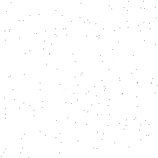 CCC1=Cc2c(-c3ccc(C4CCCCC4)cc3)cccc2[CH]1[Zr]([Cl])([Cl])([CH]1C(C2CCCCC2)=Cc2c(-c3ccc(C(C)(C)C)cc3)cccc21)[SiH](C)C